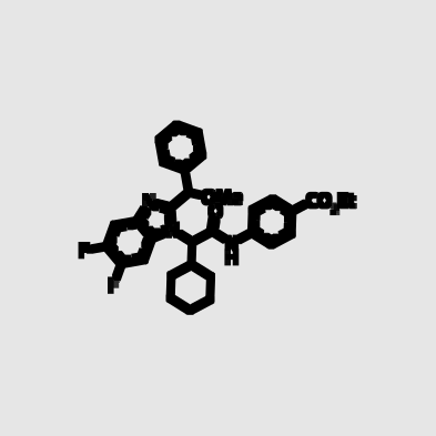 CCOC(=O)c1ccc(NC(=O)C(C2CCCCC2)n2c(C(OC)c3ccccc3)nc3cc(F)c(F)cc32)cc1